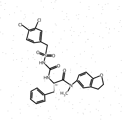 CN(C(=O)[C@H](Cc1ccccc1)NC(=O)NS(=O)(=O)Cc1ccc(Cl)c(Cl)c1)c1ccc2c(c1)CCO2